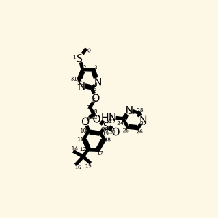 CSc1cnc(OCCOc2cc(C(C)(C)C)ccc2S(=O)(=O)Nc2ccncn2)nc1